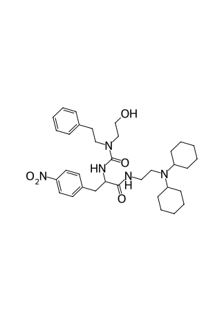 O=C(NCCN(C1CCCCC1)C1CCCCC1)C(Cc1ccc([N+](=O)[O-])cc1)NC(=O)N(CCO)CCc1ccccc1